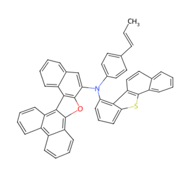 C/C=C/c1ccc(N(c2cc3ccccc3c3c2oc2c4ccccc4c4ccccc4c23)c2cccc3sc4c5ccccc5ccc4c23)cc1